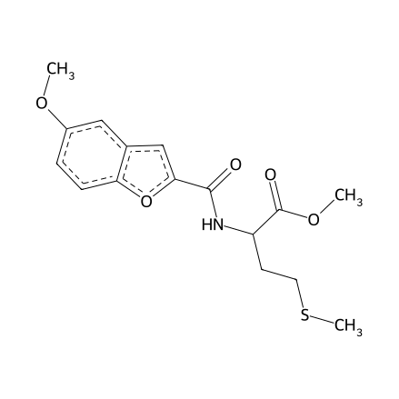 COC(=O)C(CCSC)NC(=O)c1cc2cc(OC)ccc2o1